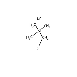 C[Si](C)(C)[SiH2][O-].[Li+]